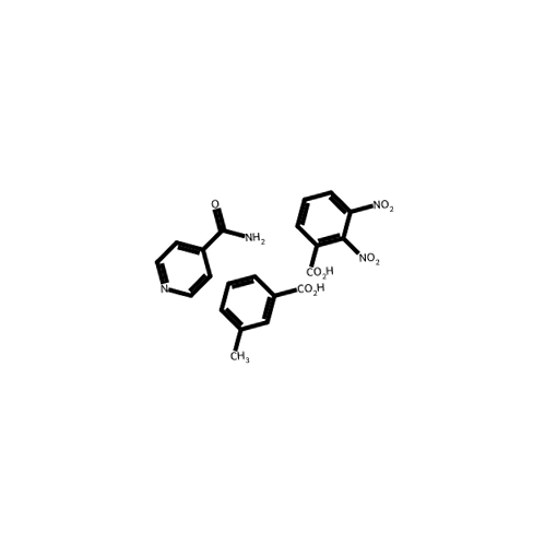 Cc1cccc(C(=O)O)c1.NC(=O)c1ccncc1.O=C(O)c1cccc([N+](=O)[O-])c1[N+](=O)[O-]